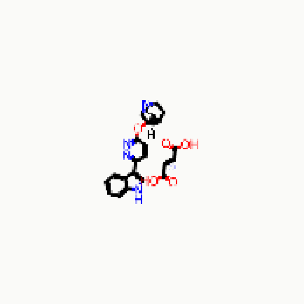 O=C(O)/C=C/C(=O)O.c1ccc2c(-c3ccc(O[C@H]4CN5CCC4CC5)nn3)c[nH]c2c1